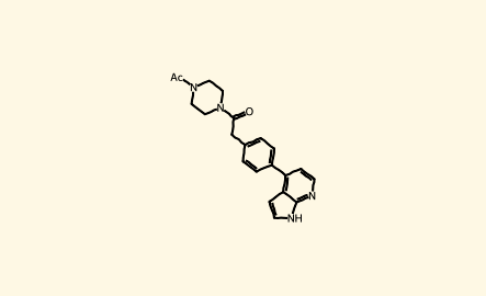 CC(=O)N1CCN(C(=O)Cc2ccc(-c3ccnc4[nH]ccc34)cc2)CC1